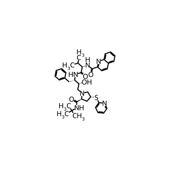 CC(C)[C@H](NC(=O)c1ccc2ccccc2n1)C(=O)N[C@@H](Cc1ccccc1)[C@H](O)CN1C[C@H](Sc2ccccn2)C[C@H]1C(=O)NC(C)(C)C